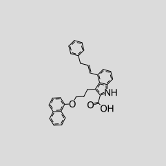 O=C(O)c1[nH]c2cccc(C=CCc3ccccc3)c2c1CCCOc1cccc2ccccc12